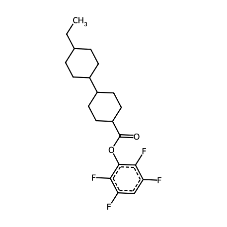 CCC1CCC(C2CCC(C(=O)Oc3c(F)c(F)cc(F)c3F)CC2)CC1